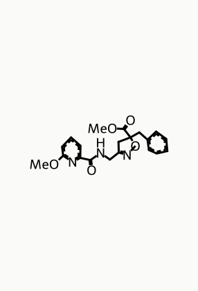 COC(=O)C1(Cc2ccccc2)CC(CNC(=O)c2cccc(OC)n2)=NO1